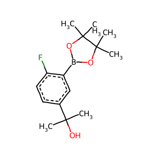 CC(C)(O)c1ccc(F)c(B2OC(C)(C)C(C)(C)O2)c1